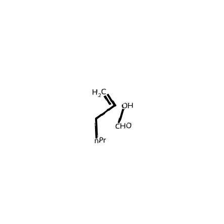 C=CCCCC.O=CO